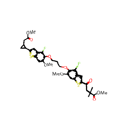 COC(=O)CC1CC1c1cc2c(F)c(OCCCOc3c(OC)cc4sc(C(=O)CC(C)(C)C(=O)OC)cc4c3F)c(OC)cc2s1